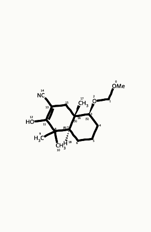 COCO[C@H]1CCC[C@H]2C(C)(C)C(O)=C(C#N)C[C@]12C